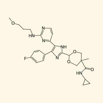 COCCCNc1nccc(-c2[nH]c(C3OCC(C)(C(=O)NC4CC4)CO3)nc2-c2ccc(F)cc2)n1